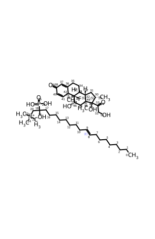 CCCCCCCC/C=C/CCCCCCCCC(O)(C[N+](C)(C)C)P(=O)(O)O.C[C@H]1C[C@H]2[C@@H]3CCC4=CC(=O)C=C[C@]4(C)[C@@]3(F)[C@@H](O)C[C@]2(C)[C@@]1(O)C(=O)CO